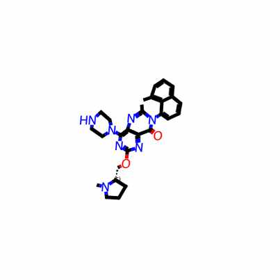 Cc1cccc2cccc(-n3c(C)nc4c(N5CCNCC5)nc(OC[C@@H]5CCCN5C)nc4c3=O)c12